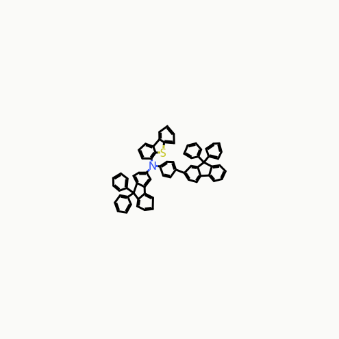 c1ccc(C2(c3ccccc3)c3ccccc3-c3cc(N(c4ccc(-c5ccc6c(c5)C(c5ccccc5)(c5ccccc5)c5ccccc5-6)cc4)c4cccc5c4sc4ccccc45)ccc32)cc1